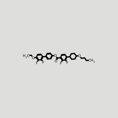 CCCCOC1CCC(c2ccc(C(=O)Oc3ccc(-c4ccc(OCC)c(F)c4F)cc3)c(F)c2F)CC1